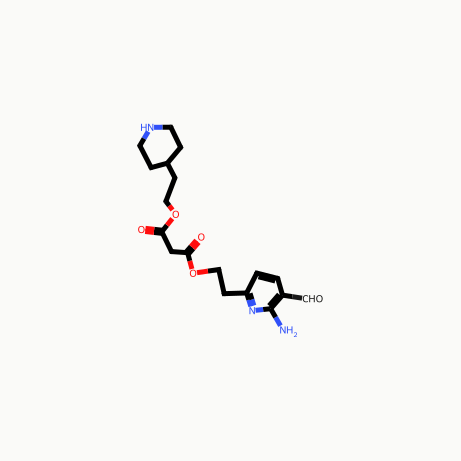 Nc1nc(CCOC(=O)CC(=O)OCCC2CCNCC2)ccc1C=O